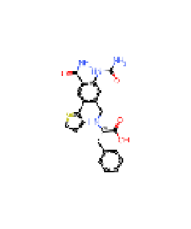 NC(=O)Nc1cc(CN[C@@H](Cc2ccccc2)C(=O)O)c(-c2cccs2)cc1C(N)=O